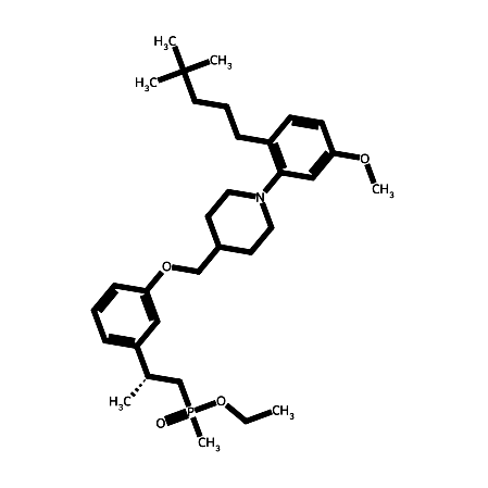 CCOP(C)(=O)C[C@H](C)c1cccc(OCC2CCN(c3cc(OC)ccc3CCCC(C)(C)C)CC2)c1